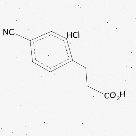 Cl.N#Cc1ccc(CCC(=O)O)cc1